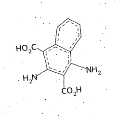 Nc1c(C(=O)O)c(N)c2ccccc2c1C(=O)O